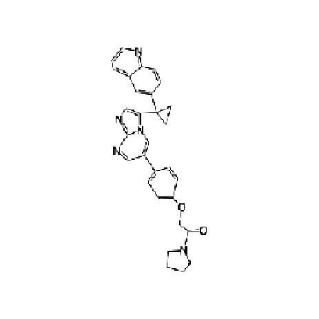 O=C(COc1ccc(-c2cnc3ncc(C4(c5ccc6ncccc6c5)CC4)n3c2)cc1)N1CCCC1